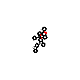 c1ccc(N(c2ccc3c(c2)C2(c4ccccc4O3)c3ccccc3-c3cccc4cccc2c34)c2ccc3c4ccccc4n(-c4ccc5oc6ccccc6c5c4)c3c2)cc1